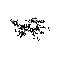 COc1cc(OCCN)c2cc1-c1cc(ccc1OCCN)C(N(C)C(=O)C(CNS(N)(=O)=O)NC(=O)c1c(C)nc(-c3ccc(C(C)(C)C)cc3)nc1C)C(=O)NC(C)C(=O)NC(C(=O)NCC#N)C2